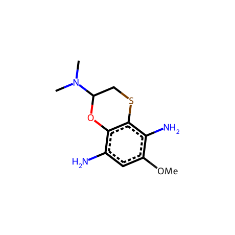 COc1cc(N)c2c(c1N)SCC(N(C)C)O2